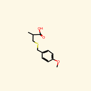 COc1ccc(CSCC(C)C(=O)O)cc1